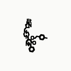 CCN1CC(CN2CCN(c3cnn(-c4ccccc4)c(=O)c3OCCc3ccc(C)cc3)CC2)C=N1